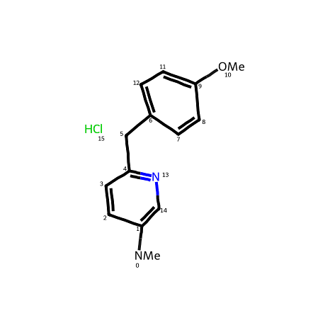 CNc1ccc(Cc2ccc(OC)cc2)nc1.Cl